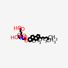 CC(C)CCCCC1CCC2C3CC=C4CC(OC(=O)CN(CC(=O)O)C(=O)CCCC(=O)O)CCC4(C)C3CCC12C